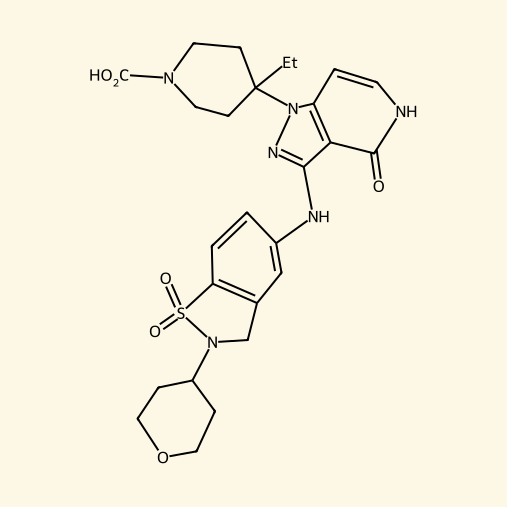 CCC1(n2nc(Nc3ccc4c(c3)CN(C3CCOCC3)S4(=O)=O)c3c(=O)[nH]ccc32)CCN(C(=O)O)CC1